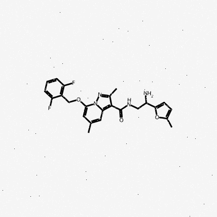 Cc1cc(OCc2c(F)cccc2F)n2nc(C)c(C(=O)NCC(N)c3ccc(C)o3)c2c1